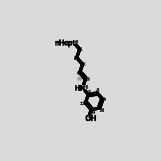 CCCCCCCCCC/C=C/Nc1cccc(O)c1